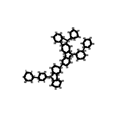 c1ccc(-c2ccc(-n3c4ccccc4c4cc(-c5ccc6c(c5)c5cc7c(cc5n6-c5cccc(-c6ccccc6)c5)C(c5ccccc5)c5ccccc5-7)ccc43)cc2)cc1